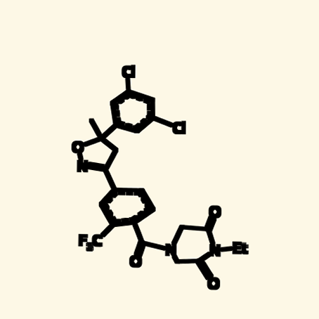 CCN1C(=O)CN(C(=O)c2ccc(C3=NOC(C)(c4cc(Cl)cc(Cl)c4)C3)cc2C(F)(F)F)CC1=O